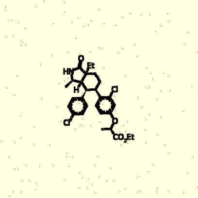 CCOC(=O)[C@@H](C)Oc1ccc([C@@H]2CC[C@@]3(CC)C(=O)N[C@H](C)[C@H]3[C@H]2c2ccc(Cl)cc2)c(Cl)c1